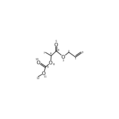 C=CCOC(=O)C(C)OC(=O)OC